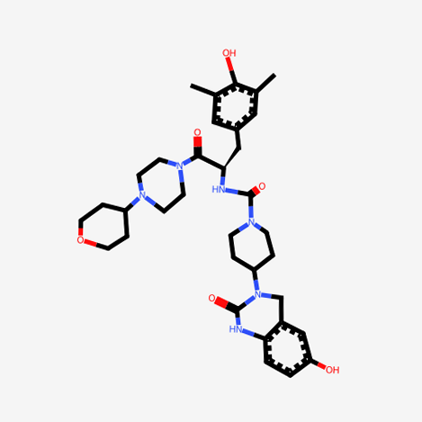 Cc1cc(C[C@@H](NC(=O)N2CCC(N3Cc4cc(O)ccc4NC3=O)CC2)C(=O)N2CCN(C3CCOCC3)CC2)cc(C)c1O